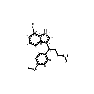 CNCCC(c1ccc(OC)cc1)c1c[nH]c2c(Cl)cccc12